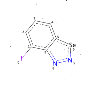 Ic1cccc2[se]nnc12